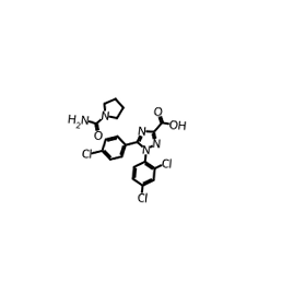 NC(=O)N1CCCC1.O=C(O)c1nc(-c2ccc(Cl)cc2)n(-c2ccc(Cl)cc2Cl)n1